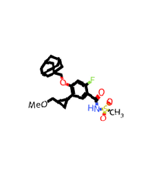 COCC1CC1c1cc(C(=O)NS(C)(=O)=O)c(F)cc1OCC12CC3CC(CC(C3)C1)C2